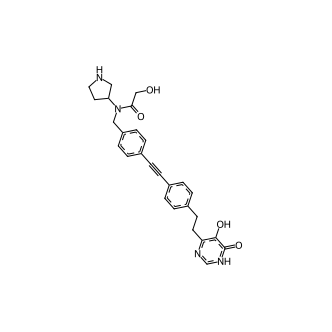 O=C(CO)N(Cc1ccc(C#Cc2ccc(CCc3nc[nH]c(=O)c3O)cc2)cc1)C1CCNC1